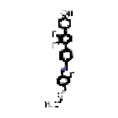 CCOCc1ccc(/C=C/c2ccc(-c3ccc(C4CCC(O)CC4)c(F)c3F)cc2)c(F)c1